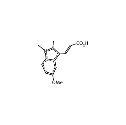 COc1ccc2c(c1)c(/C=C/C(=O)O)c(C)n2C